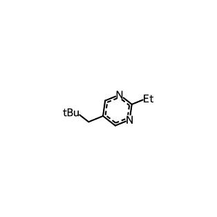 CCc1ncc(CC(C)(C)C)cn1